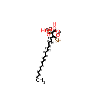 CCCCCCCCCCCCCCCCCCC(C(=O)S)C(C(=O)O)S(=O)(=O)O